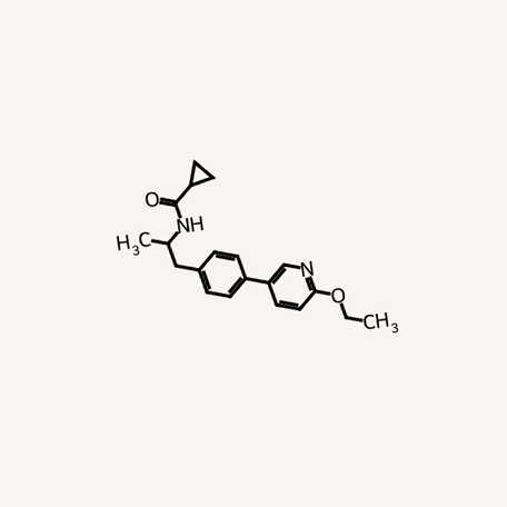 CCOc1ccc(-c2ccc(CC(C)NC(=O)C3CC3)cc2)cn1